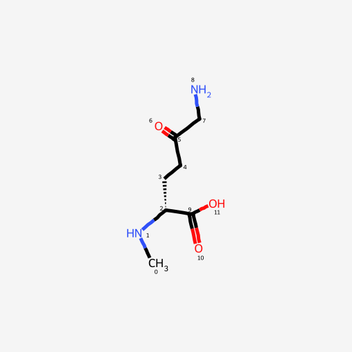 CN[C@H](CCC(=O)CN)C(=O)O